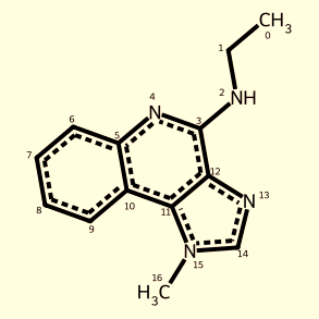 CCNc1nc2ccccc2c2c1ncn2C